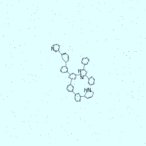 C1=CC(c2cccc(-c3cc(-c4cccc(-c5cccc(C6C=CCNC6)c5)c4)cc(-c4nc(-c5ccccc5)cc(-c5ccccc5)n4)c3)c2)CC(c2cccnc2)=C1